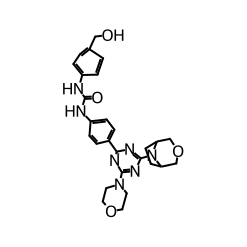 O=C(Nc1ccc(CO)cc1)Nc1ccc(-c2nc(N3CCOCC3)nc(N3C4CCC3COC4)n2)cc1